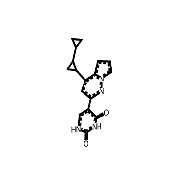 O=c1[nH]cc(-c2cc(C3CC3C3CC3)c3cccn3n2)c(=O)[nH]1